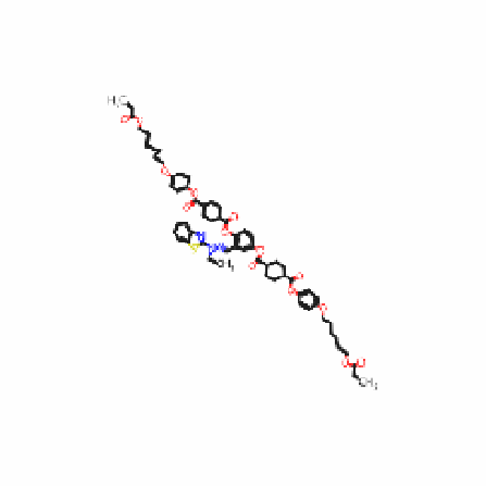 C=CC(=O)OCCCCCCOc1ccc(OC(=O)C2CCC(C(=O)Oc3ccc(OC(=O)C4CCC(C(=O)Oc5ccc(OCCCCCCOC(=O)C=C)cc5)CC4)c(/C=N/N(CC)c4nc5ccccc5s4)c3)CC2)cc1